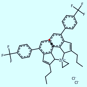 CCCC1=Cc2c(-c3ccc(C(F)(F)F)cc3)cccc2[CH]1[Zr+2]1([CH]2C(CCC)=Cc3c(-c4ccc(C(F)(F)F)cc4)cccc32)[CH2][CH2]1.[Cl-].[Cl-]